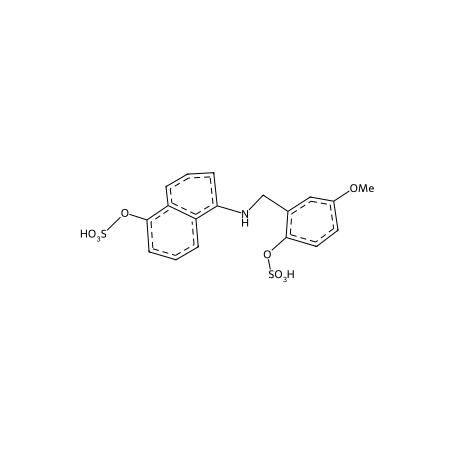 COc1ccc(OS(=O)(=O)O)c(CNc2cccc3c(OS(=O)(=O)O)cccc23)c1